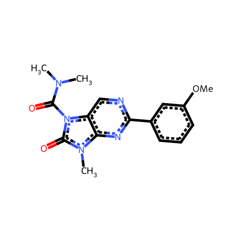 COc1cccc(-c2ncc3c(n2)n(C)c(=O)n3C(=O)N(C)C)c1